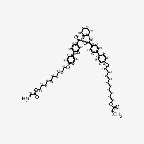 C=CC(=O)OCCCCCCCCCCOc1ccc(-c2ccc(C(=O)O[C@@H]3CCCC[C@H]3OC(=O)c3ccc(-c4ccc(OCCCCCCCCCCOC(=O)C=C)cc4)cc3)cc2)cc1